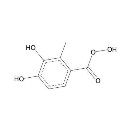 Cc1c(C(=O)OO)ccc(O)c1O